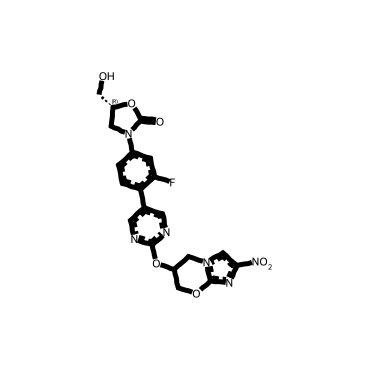 O=C1O[C@@H](CO)CN1c1ccc(-c2cnc(OC3COc4nc([N+](=O)[O-])cn4C3)nc2)c(F)c1